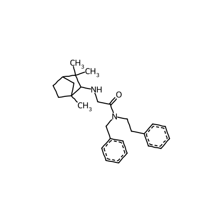 CC12CCC(C1)C(C)(C)C2NCC(=O)N(CCc1ccccc1)Cc1ccccc1